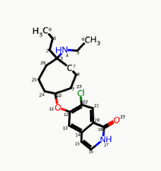 CCCC1(NCC)CCCC(Oc2cc3cc[nH]c(=O)c3cc2Cl)CCC1